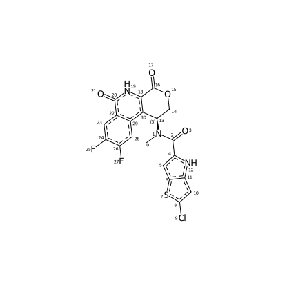 CN(C(=O)c1cc2sc(Cl)cc2[nH]1)[C@@H]1COC(=O)c2[nH]c(=O)c3cc(F)c(F)cc3c21